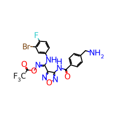 NCc1ccc(C(=O)Nc2nonc2/C(=N\OC(=O)C(F)(F)F)Nc2ccc(F)c(Br)c2)cc1